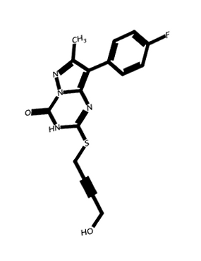 Cc1nn2c(=O)[nH]c(SCC#CCO)nc2c1-c1ccc(F)cc1